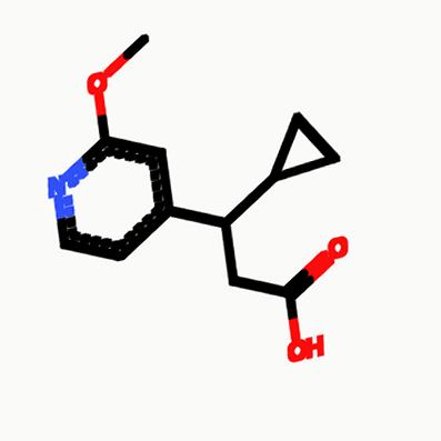 COc1cc(C(CC(=O)O)C2CC2)ccn1